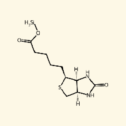 O=C1N[C@H]2[C@H](CS[C@H]2CCCCC(=O)O[SiH3])N1